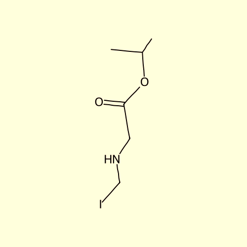 CC(C)OC(=O)CNCI